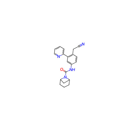 N#CCc1ccc(NC(=O)N2C3CCCC2C3)cc1-c1ccccn1